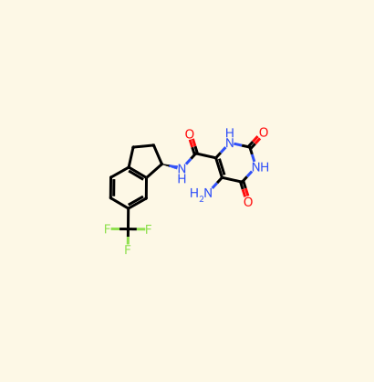 Nc1c(C(=O)N[C@@H]2CCc3ccc(C(F)(F)F)cc32)[nH]c(=O)[nH]c1=O